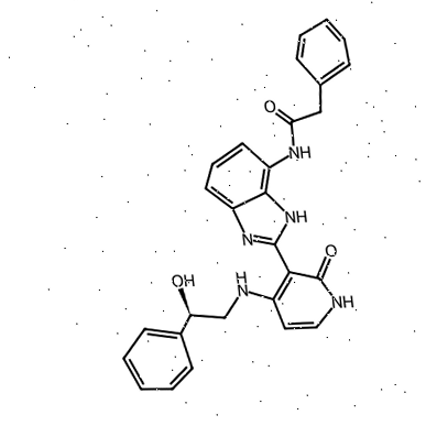 O=C(Cc1ccccc1)Nc1cccc2nc(-c3c(NC[C@H](O)c4ccccc4)cc[nH]c3=O)[nH]c12